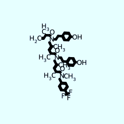 C=C[C@H](C)C(=O)N(CCc1ccc(O)cc1)C/C(C)=C/[C@H](C)C(=O)N(CCc1ccc(O)cc1)C/C(C)=C/[C@H](C)C(=O)N(C)Cc1ccc(C(F)(F)F)cc1